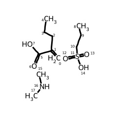 C=C(CCC)C(=O)O.CCCS(=O)(=O)O.CNC